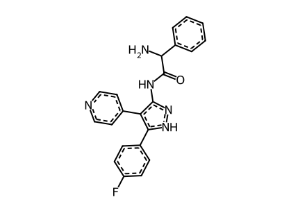 NC(C(=O)Nc1n[nH]c(-c2ccc(F)cc2)c1-c1ccncc1)c1ccccc1